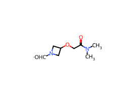 CN(C)C(=O)COC1CN([C]=O)C1